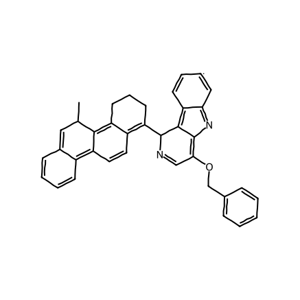 CC1C=c2ccccc2=c2ccc3c(c21)CCCC=3C1N=CC(OCc2ccccc2)=C2N=c3c[c]ccc3=C21